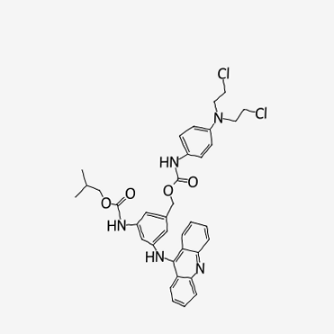 CC(C)COC(=O)Nc1cc(COC(=O)Nc2ccc(N(CCCl)CCCl)cc2)cc(Nc2c3ccccc3nc3ccccc23)c1